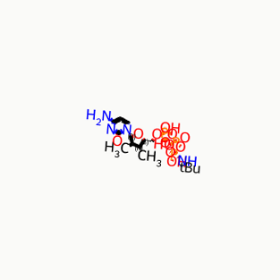 CC1[C@@H](C)[C@@H](COP(=O)(O)OP(=O)(O)OP(=O)(O)NC(C)(C)C)O[C@H]1n1ccc(N)nc1=O